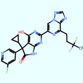 O=C1Nc2nc(-c3cn4ncnc4c(CCC(F)(F)C(F)(F)F)n3)nc(O)c2C1(c1cncc(F)c1)C1CC1